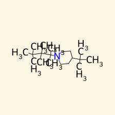 CC(C)(C)C1CCN(C(C)(C)C(C)(C)C(C)(C)C)CC1